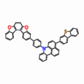 c1ccc(-c2ccccc2N(c2ccc(-c3ccc4c(c3)oc3ccc5oc6ccccc6c5c34)cc2)c2ccc(-c3ccc4c(c3)sc3ccccc34)cc2)cc1